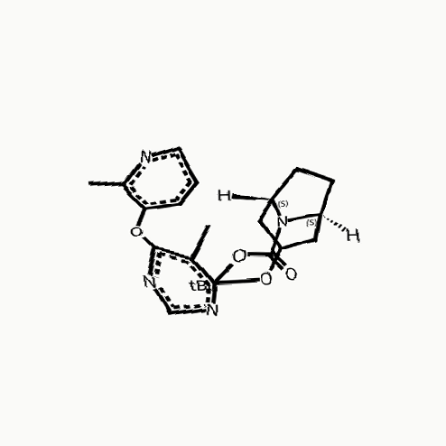 Cc1ncccc1Oc1ncnc(OC2C[C@@H]3CC[C@@H](C2)N3C(=O)OC(C)(C)C)c1C